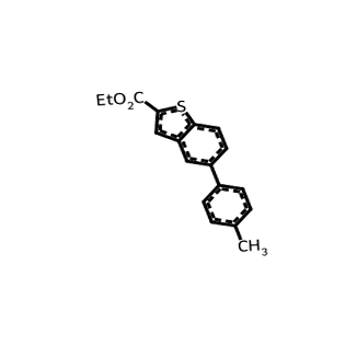 CCOC(=O)c1cc2cc(-c3ccc(C)cc3)ccc2s1